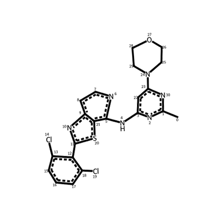 Cc1nc(Nc2nccc3nc(-c4c(Cl)cccc4Cl)sc23)cc(N2CCOCC2)n1